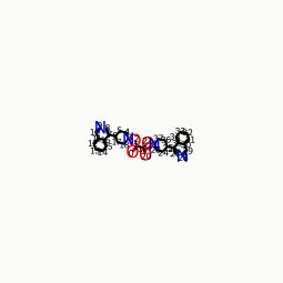 O=C(ON1CCC(c2cncc3ccccc23)CC1)C(=O)ON1CCC(c2cncc3ccccc23)CC1